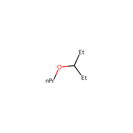 CCCOC(CC)CC